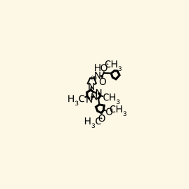 COc1ccc(-c2c(C)nc3c(N4CC[C@@H](NC(=O)C(OC)c5ccccc5)C4)cc(C)nn23)cc1OC